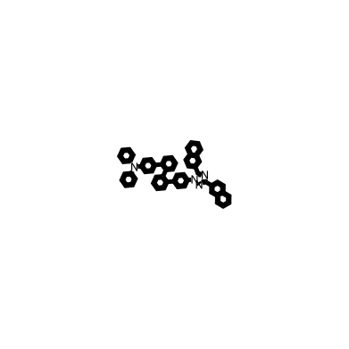 c1ccc(N(c2ccccc2)c2ccc(-c3ccccc3-c3ccccc3-c3ccc(-n4nc(-c5ccc6ccccc6c5)nc4-c4ccc5ccccc5c4)cc3)cc2)cc1